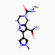 Cn1cc(-c2nn3c(c2C(N)=O)CN(C(=O)NC(C)(C)C)CC3)cn1